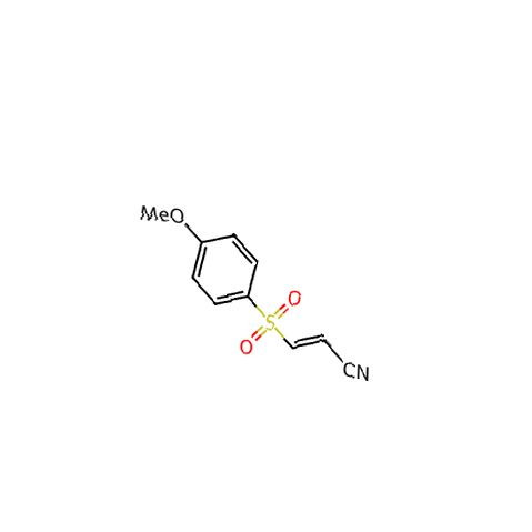 COc1ccc(S(=O)(=O)C=CC#N)cc1